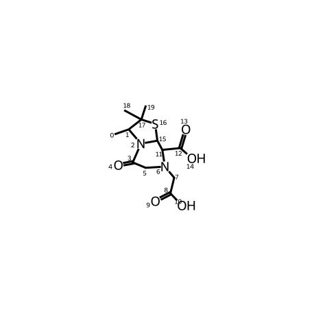 CC1N2C(=O)CN(CC(=O)O)C(C(=O)O)C2SC1(C)C